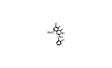 COc1cc(Cl)c(C)c2c1N=C(NCc1ccccc1Cl)NC2C